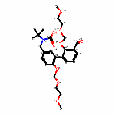 COCCOCOc1ccc(CN(C(=O)O)C(C)(C)C)cc1-c1cccc(C=O)c1OCOCCOC